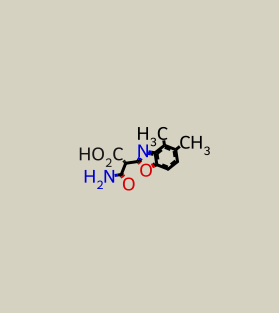 Cc1ccc2oc(C(C(N)=O)C(=O)O)nc2c1C